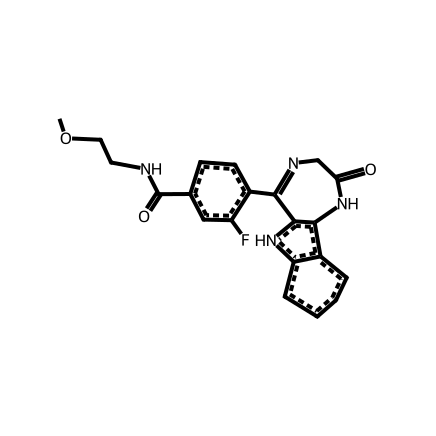 COCCNC(=O)c1ccc(C2=NCC(=O)Nc3c2[nH]c2ccccc32)c(F)c1